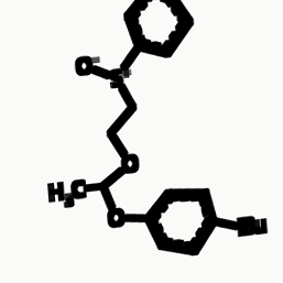 CCC(C)c1ccc(OC(C)OCC[S+]([O-])c2ccccc2)cc1